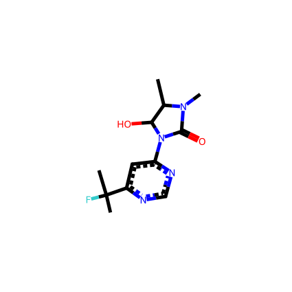 CC1C(O)N(c2cc(C(C)(C)F)ncn2)C(=O)N1C